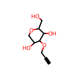 C#CCOC1C(O)COC(CO)C1O